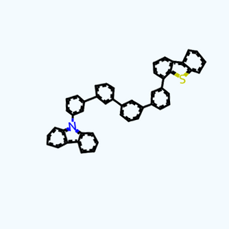 c1cc(-c2cccc(-c3cccc(-n4c5ccccc5c5ccccc54)c3)c2)cc(-c2cccc(-c3cccc4c3sc3ccccc34)c2)c1